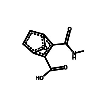 CNC(=O)c1c(C(=O)O)c2ccc1o2